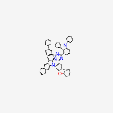 c1ccc(-c2cccc(-c3nc(-c4cc5c(cc4-n4c6ccccc6c6cc7ccccc7cc64)oc4ccccc45)nc(-c4cccc5c4c4ccccc4n5-c4ccccc4)n3)c2)cc1